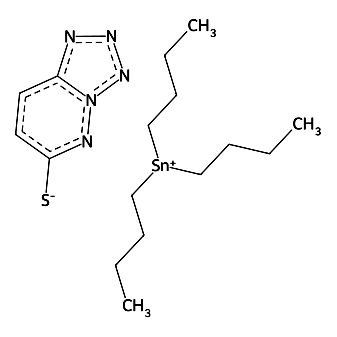 CCC[CH2][Sn+]([CH2]CCC)[CH2]CCC.[S-]c1ccc2nnnn2n1